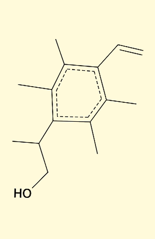 C=Cc1c(C)c(C)c(C(C)CO)c(C)c1C